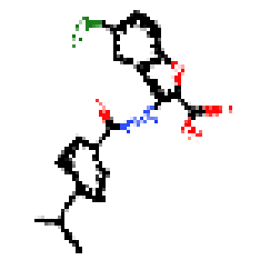 CC(C)c1ccc(C(=O)Nc2c(C(=O)O)oc3ccc(Cl)cc23)cc1